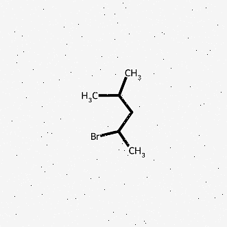 C[C](C)CC(C)Br